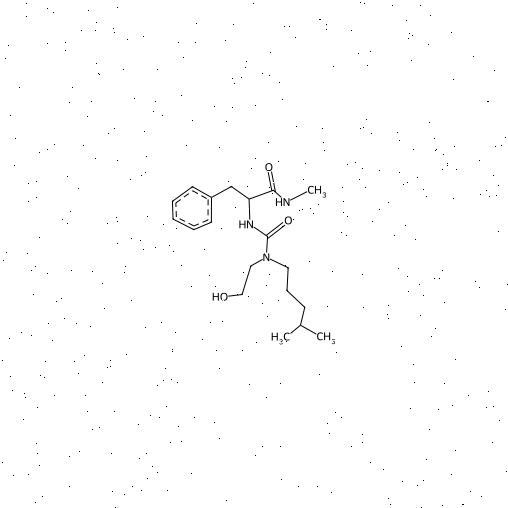 CNC(=O)C(Cc1ccccc1)NC(=O)N(CCO)CCCC(C)C